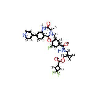 C[C@@H]1C(=O)N(C)c2cc(-c3ccncc3)ccc2C(=O)N1Cc1cc(F)cc(C(=O)NCC2(COC(=O)C3CC(F)(F)C3)CC2)c1